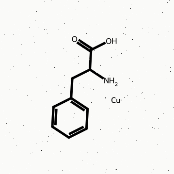 NC(Cc1ccccc1)C(=O)O.[Cu]